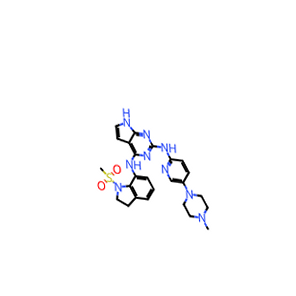 CN1CCN(c2ccc(Nc3nc(Nc4cccc5c4N(S(C)(=O)=O)CC5)c4cc[nH]c4n3)nc2)CC1